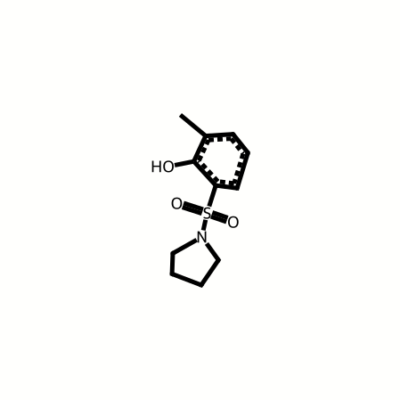 Cc1cccc(S(=O)(=O)N2CCCC2)c1O